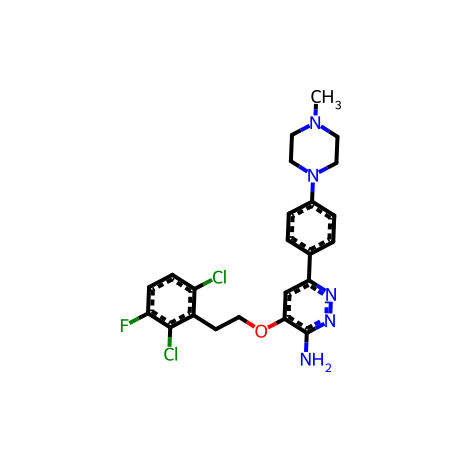 CN1CCN(c2ccc(-c3cc(OCCc4c(Cl)ccc(F)c4Cl)c(N)nn3)cc2)CC1